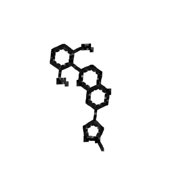 Cn1cc(-c2cnc3ccc(-c4c(N)cccc4N)nc3c2)cn1